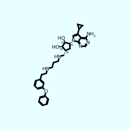 Nc1ncnc2c1c(C1CC1)cn2[C@@H]1C[C@H](CNCCCNCCc2cccc(Oc3ccccc3)c2)[C@@H](O)[C@H]1O